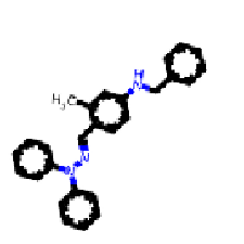 Cc1cc(NCc2ccccc2)ccc1/C=N/N(c1ccccc1)c1ccccc1